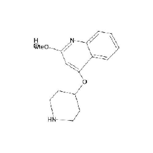 COc1cc(OC2CCNCC2)c2ccccc2n1.Cl